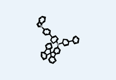 C1=CC(N(C2=CC=C(c3ccc(-n4ccc5ccccc54)cc3)CC2)c2ccc3c(c2)C2(c4ccccc4-c4ccccc42)c2ccccc2-3)CC=C1c1ccccc1